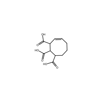 O=C(O)C1C=CCCCC(C(=O)O)C1C(=O)O